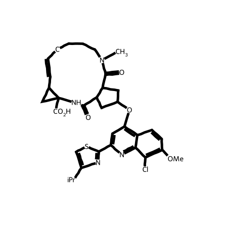 COc1ccc2c(OC3CC4C(=O)NC5(C(=O)O)CC5/C=C/CCCCN(C)C(=O)C4C3)cc(-c3nc(C(C)C)cs3)nc2c1Cl